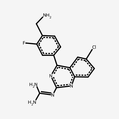 NCc1ccc(-c2nc(N=C(N)N)nc3ccc(Cl)cc23)cc1F